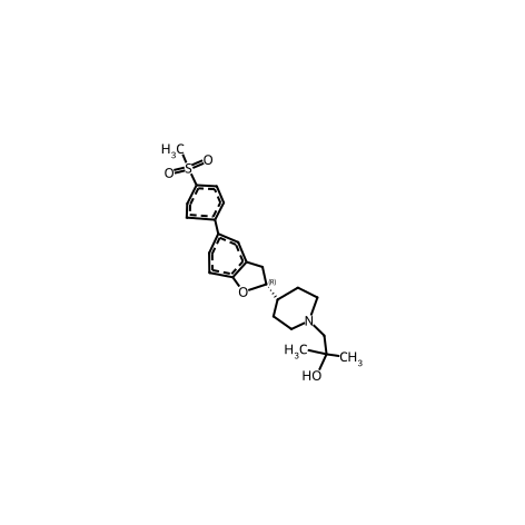 CC(C)(O)CN1CCC([C@H]2Cc3cc(-c4ccc(S(C)(=O)=O)cc4)ccc3O2)CC1